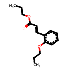 CCCOC(=O)C=Cc1ccccc1OCCC